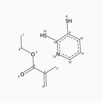 C=C(C)C(=O)OCC.Sc1cccnc1S